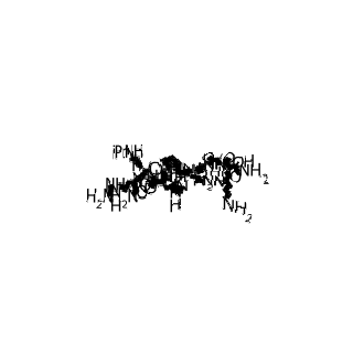 CC(C)NCCCC[C@H](NC(=O)[C@H](Cc1cnc[nH]1)NC(=O)[C@@H]1CCCN1C(=O)[C@@H](CCCN)NC(=O)CNC(=O)[C@H](C)NC(=O)[C@@H](NC(=O)C(N)CCCCN)[C@@H](O)CN)C(=O)N[C@H](CCCNC(=N)N)C(N)=O